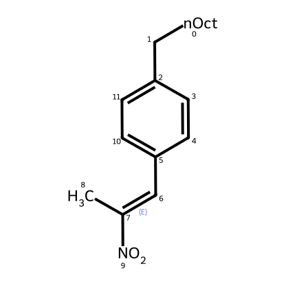 CCCCCCCCCc1ccc(/C=C(\C)[N+](=O)[O-])cc1